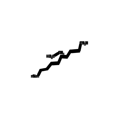 CC(=O)O.CCCCCCCCCCCC=CC=CC=CC(=O)O